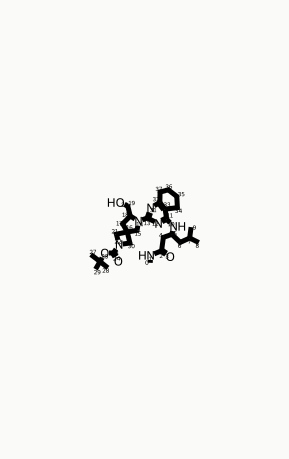 CNC(=O)CC(CC(C)C)Nc1nc(N2CC3(CC2CO)CN(C(=O)OC(C)(C)C)C3)nc2c1CCCC2